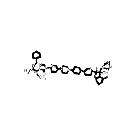 CC[C@@H]([C@H](C)OCc1ccccc1)n1ncn(-c2ccc(N3CCN(c4ccc(-c5ccc(C(F)(F)C(O)(Cn6cnnn6)c6ccccc6F)nc5)cc4)CC3)cn2)c1=O